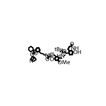 COc1cc(OCC(=O)NCCCc2cccc(C3(C(=O)OC4CN5CCC4CC5)CCCCC3)c2)c(Cl)cc1CNC[C@H](O[Si](C)(C)C(C)(C)C)c1ccc(O)c2[nH]c(=O)ccc12